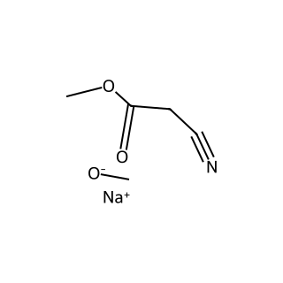 COC(=O)CC#N.C[O-].[Na+]